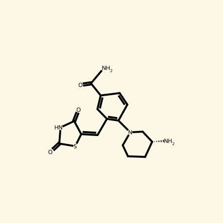 NC(=O)c1ccc(N2CCC[C@@H](N)C2)c(C=C2SC(=O)NC2=O)c1